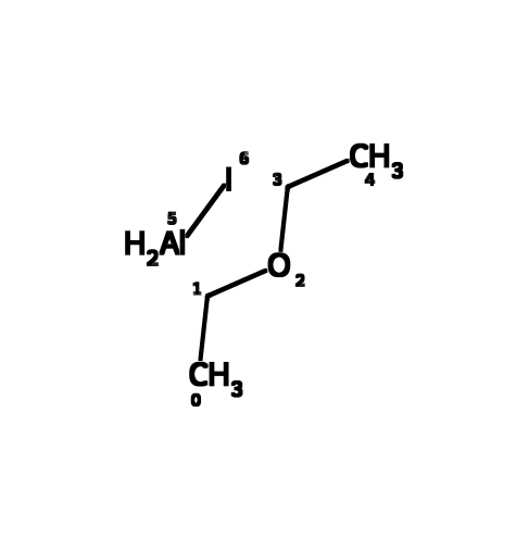 CCOCC.[AlH2][I]